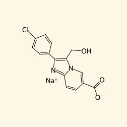 O=C([O-])c1ccc2nc(-c3ccc(Cl)cc3)c(CO)n2c1.[Na+]